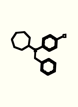 Clc1ccc(N(Cc2ccccc2)C2CCCCCC2)cc1